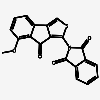 COc1cccc2c1C(=O)c1c-2csc1N1C(=O)c2ccccc2C1=O